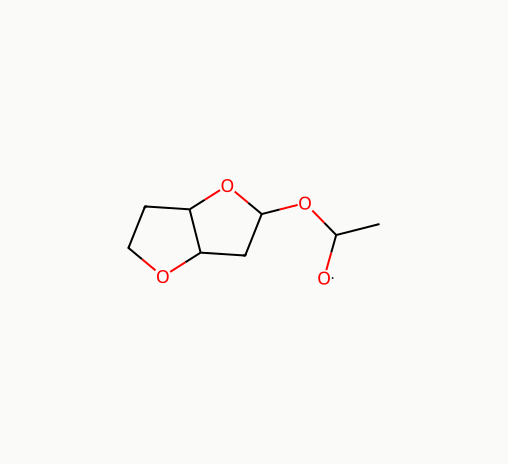 CC([O])OC1CC2OCCC2O1